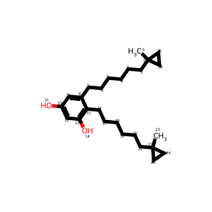 CC1(CCCCCCc2cc(O)cc(O)c2CCCCCCC2(C)CC2)CC1